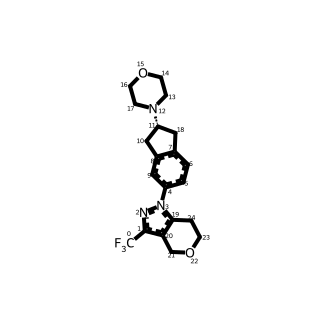 FC(F)(F)c1nn(-c2ccc3c(c2)C[C@H](N2CCOCC2)C3)c2c1COCC2